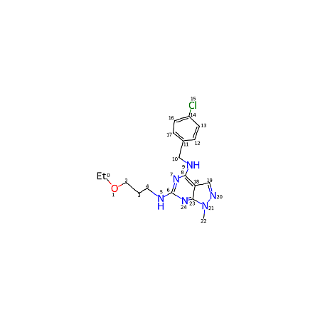 CCOCCCNc1nc(NCc2ccc(Cl)cc2)c2cnn(C)c2n1